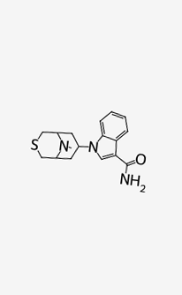 CN1C2CSCC1CC(n1cc(C(N)=O)c3ccccc31)C2